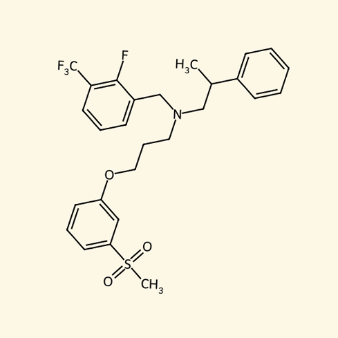 CC(CN(CCCOc1cccc(S(C)(=O)=O)c1)Cc1cccc(C(F)(F)F)c1F)c1ccccc1